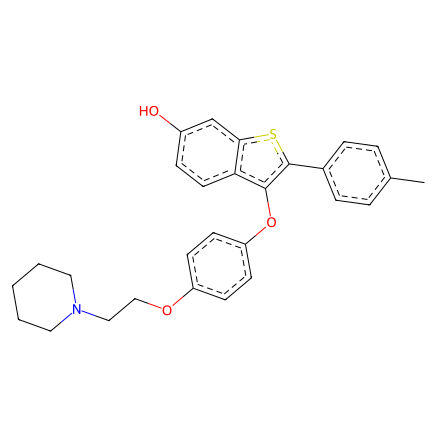 Cc1ccc(-c2sc3cc(O)ccc3c2Oc2ccc(OCCN3CCCCC3)cc2)cc1